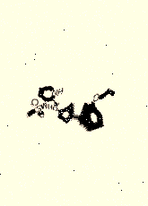 C=CCOc1cccc([C@H]2CC[C@@H](OC[C@@H]3NCCC[C@@H]3NS(C)(=O)=O)C2)c1